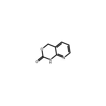 O=C1Nc2ncccc2CO1